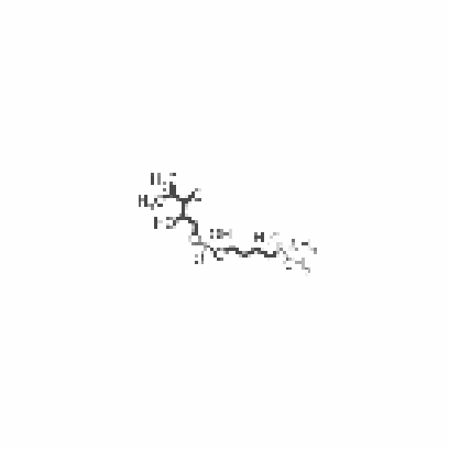 C=C(C)C(=O)C(O)COP(=O)(O)OCCCC[N+](C)(C)C